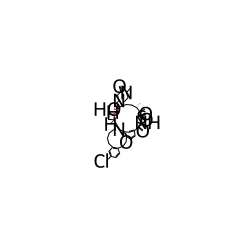 C[C@@H]1[C@@H](C)CCC[C@@](O)(CN2CCN(C)C(=O)C2)[C@@H]2CC[C@H]2CN2CCCCc3cc(Cl)ccc3COc3ccc(cc32)C(=O)NS1(=O)=O